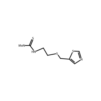 CNC(=S)NCCSCc1cncs1